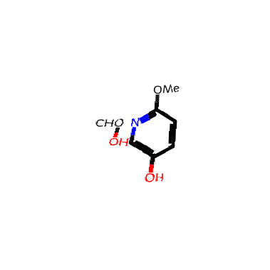 COc1ccc(O)cn1.O=CO